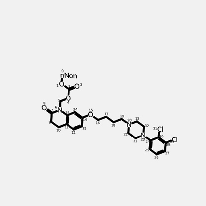 CCCCCCCCCOC(=O)OCN1C(=O)CCc2ccc(OCCCCN3CCN(c4cccc(Cl)c4Cl)CC3)cc21